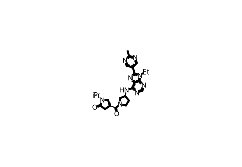 CCn1c(-c2cnc(C)nc2)nc2c(N[C@H]3CCN(C(=O)[C@H]4CC(=O)N(C(C)C)C4)C3)ncnc21